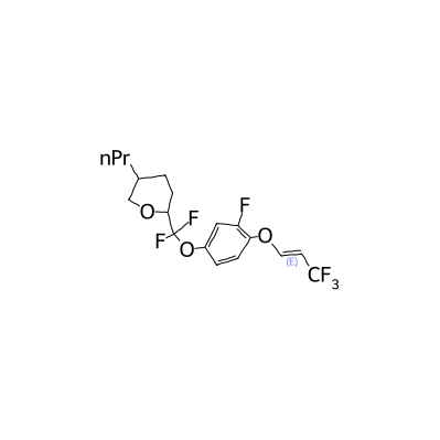 CCCC1CCC(C(F)(F)Oc2ccc(O/C=C/C(F)(F)F)c(F)c2)OC1